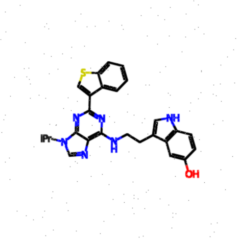 CC(C)n1cnc2c(NCCc3c[nH]c4ccc(O)cc34)nc(-c3csc4ccccc34)nc21